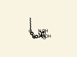 C=C1/C(=C/c2ccc3c(c2)CCN3c2ccc(OCCCCCCCCCC)cc2)N(CC)/C(=C(\C#N)C(=O)O)N1CC(=O)O